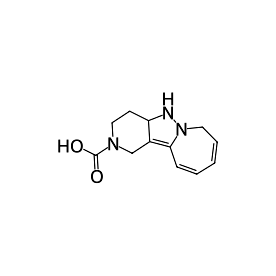 O=C(O)N1CCC2NN3CC=CC=CC3=C2C1